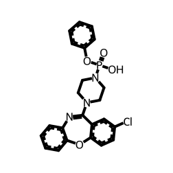 O=P(O)(Oc1ccccc1)N1CCN(C2=Nc3ccccc3Oc3ccc(Cl)cc32)CC1